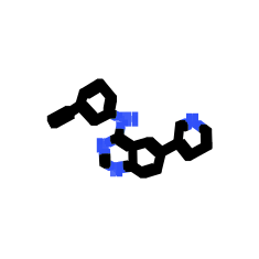 C#Cc1cccc(Nc2ncnc3ccc(-c4cccnc4)cc23)c1